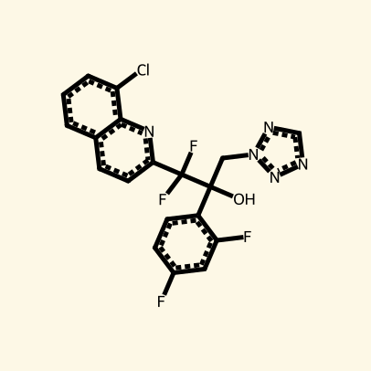 OC(Cn1ncnn1)(c1ccc(F)cc1F)C(F)(F)c1ccc2cccc(Cl)c2n1